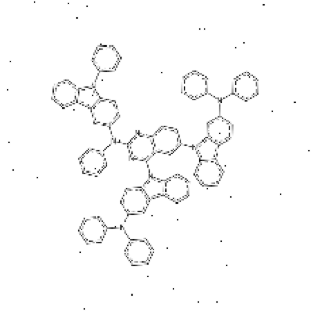 c1ccc(N(c2ccccc2)c2ccc3c(c2)c2ccccc2n3-c2nc(N(c3ccccc3)c3ccc4c(c3)c3ccccc3n4-c3ccccc3)nc3ccc(-n4c5ccccc5c5ccc(N(c6ccccc6)c6ccccc6)cc54)cc23)cc1